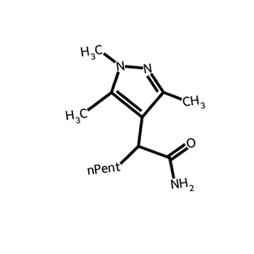 CCCCCC(C(N)=O)c1c(C)nn(C)c1C